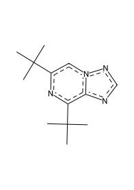 CC(C)(C)c1cn2ncnc2c(C(C)(C)C)n1